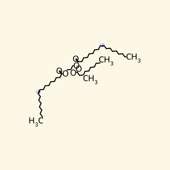 CCCCCCCC/C=C\CCCCCCCC(=O)OCC(COC(=O)CCCCCCC/C=C\CCCCCCCC)OC(=O)CC(C)CCCCCCC